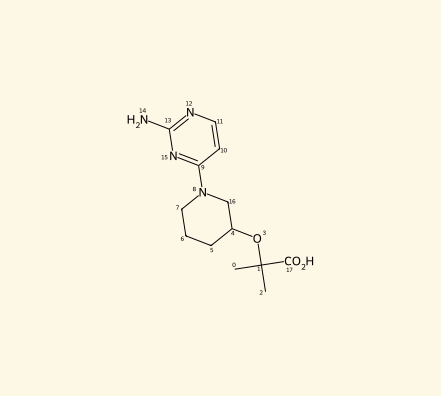 CC(C)(OC1CCCN(c2ccnc(N)n2)C1)C(=O)O